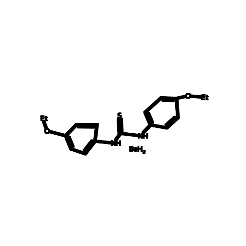 CCOc1ccc(NC(=S)Nc2ccc(OCC)cc2)cc1.[BeH2]